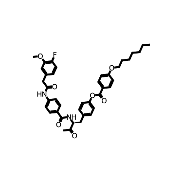 CCCCCCCOc1ccc(C(=O)Oc2ccc(C[C@H](NC(=O)c3ccc(NC(=O)Cc4ccc(F)c(OC)c4)cc3)C(C)=O)cc2)cc1